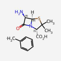 CC1(C)S[C@@H]2[C@H](N)C(=O)N2[C@H]1C(=O)O.[CH2]c1ccccc1